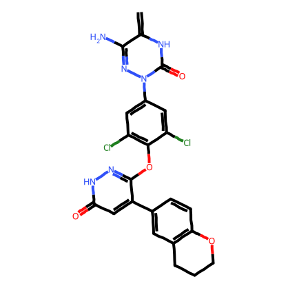 C=C1NC(=O)N(c2cc(Cl)c(Oc3n[nH]c(=O)cc3-c3ccc4c(c3)CCCO4)c(Cl)c2)N=C1N